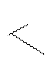 [CH2]CC(CCCCCCCCC)CCCCCCCCCCCCCCCCCCC